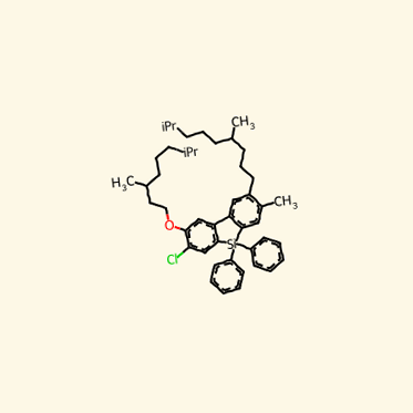 Cc1cc2c(cc1CCCC(C)CCCC(C)C)-c1cc(OCCC(C)CCCC(C)C)c(Cl)cc1[Si]2(c1ccccc1)c1ccccc1